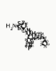 Nc1nc2c(Oc3cc(-c4ccc(C(F)(F)F)nc4NCC4CN(Cc5ccccc5)CCO4)ncn3)cccc2s1